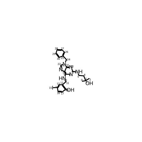 CC(C)(O)CCNc1nc(NCc2cc(I)ccc2O)c2ncn(Cc3ccccc3)c2n1